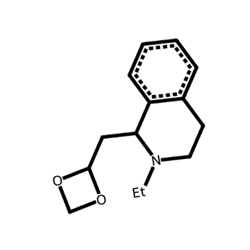 CCN1CCc2ccccc2C1CC1OCO1